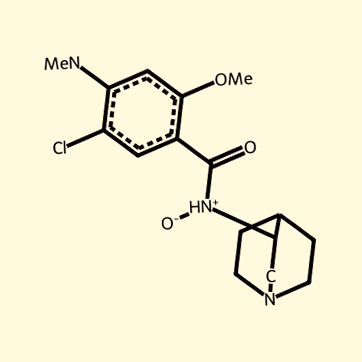 CNc1cc(OC)c(C(=O)[NH+]([O-])C2CN3CCC2CC3)cc1Cl